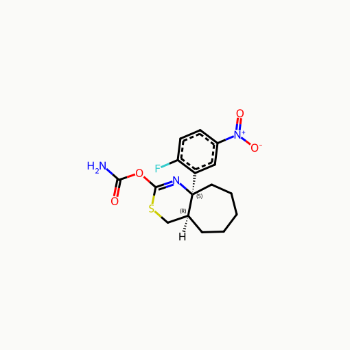 NC(=O)OC1=N[C@@]2(c3cc([N+](=O)[O-])ccc3F)CCCCC[C@H]2CS1